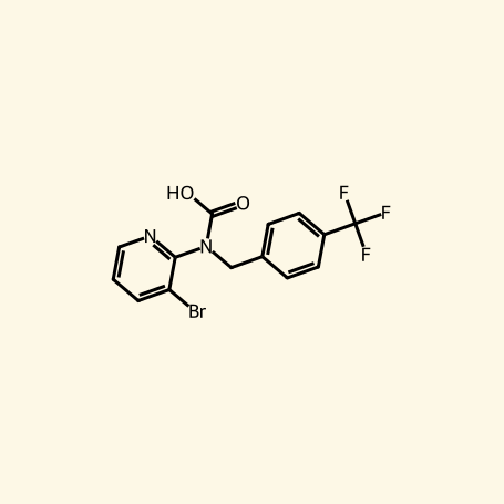 O=C(O)N(Cc1ccc(C(F)(F)F)cc1)c1ncccc1Br